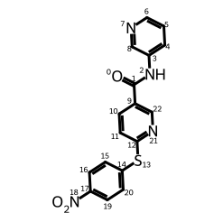 O=C(Nc1cccnc1)c1ccc(Sc2ccc([N+](=O)[O-])cc2)nc1